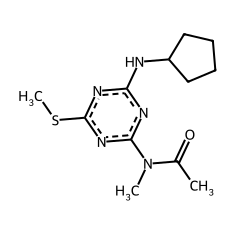 CSc1nc(NC2CCCC2)nc(N(C)C(C)=O)n1